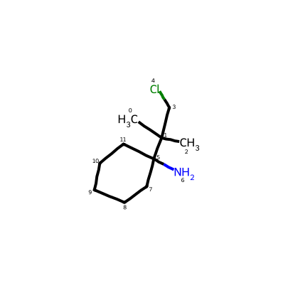 CC(C)(CCl)C1(N)CCCCC1